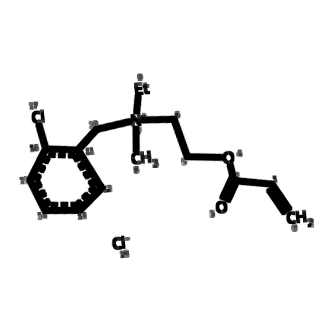 C=CC(=O)OCC[N+](C)(CC)Cc1ccccc1Cl.[Cl-]